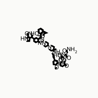 COc1ccc(C#CCNC2(C)CCN(C3CCN(c4nc([C@@](CO)(OC5CC5)c5ccccc5)c5cc(-c6cn(C)c(=O)c7[nH]ccc67)ccc5n4)CC3)CC2)cc1N1CCC(=O)N(CNC(=O)[C@H](CC(N)=O)NC(=O)O)C1=O